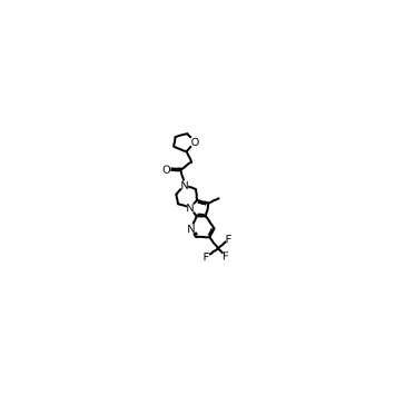 Cc1c2n(c3ncc(C(F)(F)F)cc13)CCN(C(=O)CC1CCCO1)C2